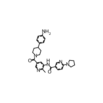 Cc1ncc(C(=O)N2CCC(c3ccc(N)cc3)CC2)cc1NC(=O)c1ccc(N2CCCC2)nc1